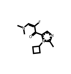 Cc1ncc(C(=O)/C(F)=C\N(C)C)n1C1CCC1